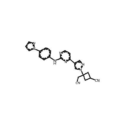 N#CCC1(n2cc(-c3ccnc(Nc4ccc(-n5cccn5)cc4)n3)cn2)CC(C#N)C1